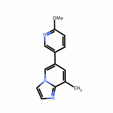 COc1ccc(-c2cc(C)c3nccn3c2)cn1